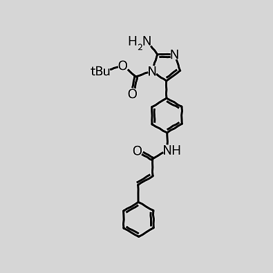 CC(C)(C)OC(=O)n1c(-c2ccc(NC(=O)/C=C/c3ccccc3)cc2)cnc1N